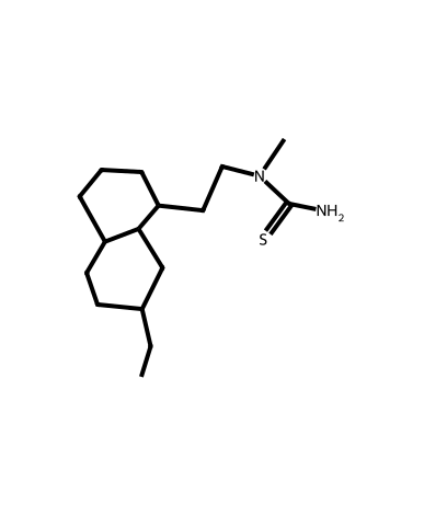 CCC1CCC2CCCC(CCN(C)C(N)=S)C2C1